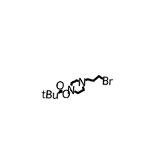 CC(C)(C)C(=O)ON1CCN(CCCBr)CC1